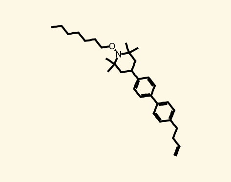 C=CCCc1ccc(-c2ccc(C3CC(C)(C)N(OCCCCCCC)C(C)(C)C3)cc2)cc1